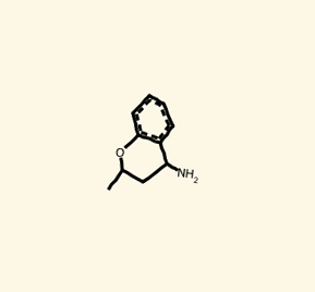 CC1CC(N)c2ccccc2O1